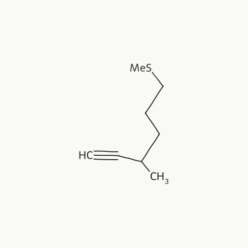 C#CC(C)CCCS[CH2]